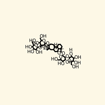 C=C1CC2CCC3[C@](C)(C(=O)OC4OC(CO)C(O)C(O)C4OC4OC(CO)C(O)C(O)C4O)CCC[C@@]3(C)[C@@H]2CCC1(N)OC1OC(CO)C(O)C(OC2OC(CO)C(O)C(O)C2O)C1O